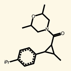 CC1CN(C(=O)C2C(C)C2c2ccc(C(C)C)cc2)CC(C)O1